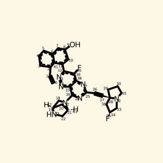 C#Cc1cccc2cc(O)cc(-c3nnc4c(N5C[C@H]6C[C@@H]5CN6)nc(C#C[C@@]56CCCN5C[C@H](F)C6)nc4c3F)c12